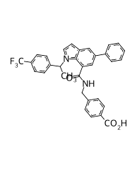 CC(c1ccc(C(F)(F)F)cc1)n1ccc2cc(-c3ccccc3)cc(C(=O)NCc3ccc(C(=O)O)cc3)c21